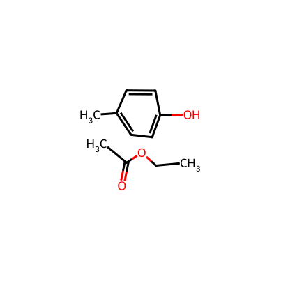 CCOC(C)=O.Cc1ccc(O)cc1